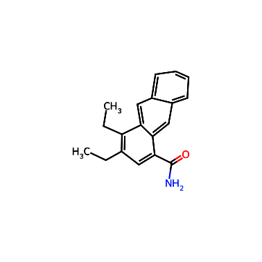 CCc1cc(C(N)=O)c2cc3ccccc3cc2c1CC